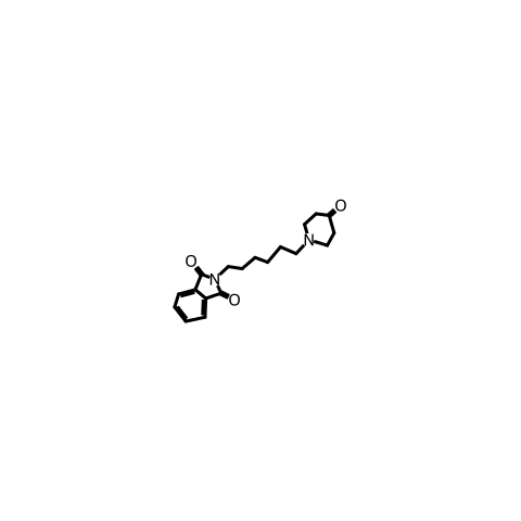 O=C1CCN(CCCCCCN2C(=O)c3ccccc3C2=O)CC1